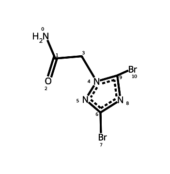 NC(=O)Cn1nc(Br)nc1Br